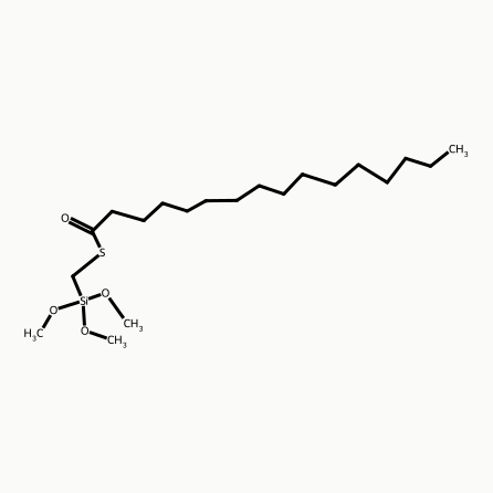 CCCCCCCCCCCCCCCC(=O)SC[Si](OC)(OC)OC